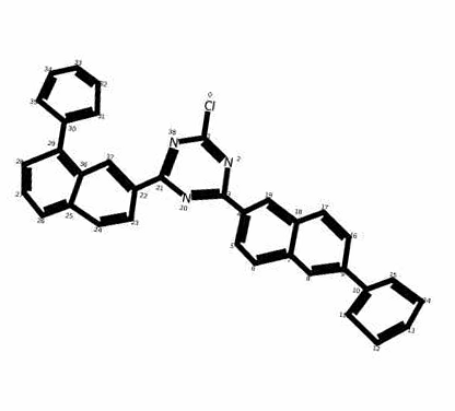 Clc1nc(-c2ccc3cc(-c4ccccc4)ccc3c2)nc(-c2ccc3cccc(-c4ccccc4)c3c2)n1